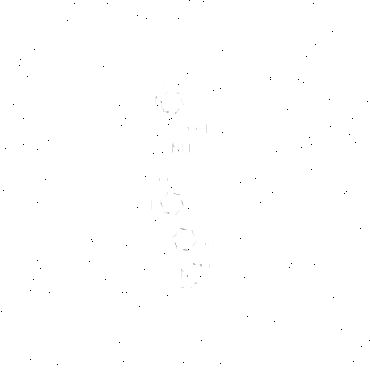 CS(=O)(=O)NC(=O)c1ccc(-c2ccc(OCCNC[C@@H](O)c3ccc(Cl)nc3)cc2)cc1OC1CCCCC1.Cl